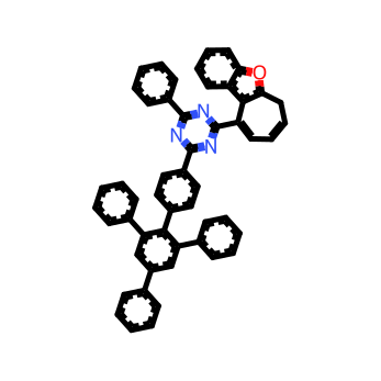 C1=CCc2oc3ccccc3c2C(c2nc(-c3ccccc3)nc(-c3ccc(-c4c(-c5ccccc5)cc(-c5ccccc5)cc4-c4ccccc4)cc3)n2)=C1